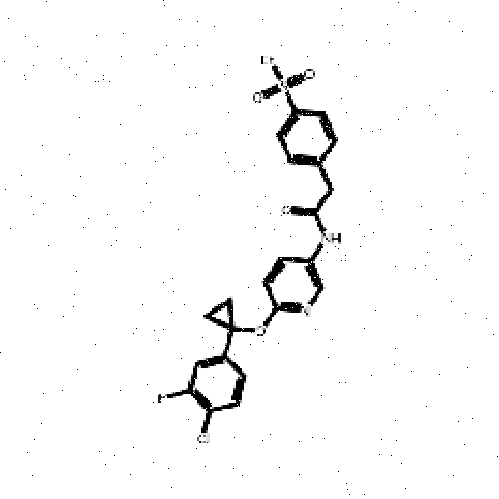 CCS(=O)(=O)c1ccc(CC(=O)Nc2ccc(OC3(c4ccc(Cl)c(F)c4)CC3)nc2)cc1